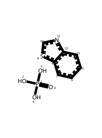 O=P(O)(O)O.c1ccc2scnc2c1